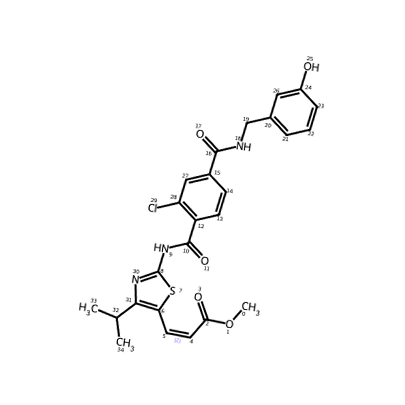 COC(=O)/C=C\c1sc(NC(=O)c2ccc(C(=O)NCc3cccc(O)c3)cc2Cl)nc1C(C)C